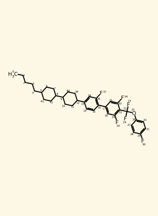 CCCCCC1CCC(C2CCC(c3ccc(-c4cc(F)c(C(F)(F)Oc5ccc(F)cc5)c(F)c4)c(F)c3)CC2)CC1